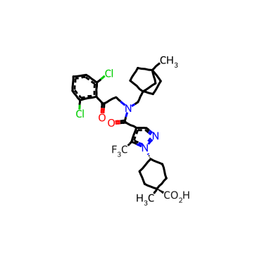 CC12CCC(CN(CC(=O)c3c(Cl)cccc3Cl)C(=O)c3cnn([C@H]4CC[C@](C)(C(=O)O)CC4)c3C(F)(F)F)(CC1)C2